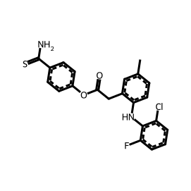 Cc1ccc(Nc2c(F)cccc2Cl)c(CC(=O)Oc2ccc(C(N)=S)cc2)c1